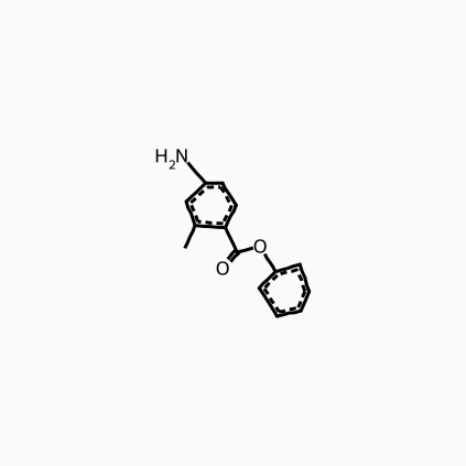 Cc1cc(N)ccc1C(=O)Oc1ccccc1